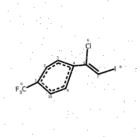 FC(F)(F)c1ccc(C(Cl)=CI)cc1